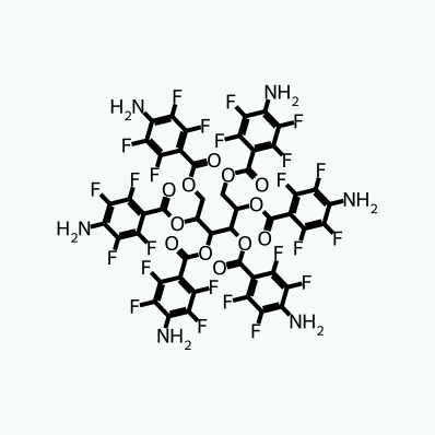 Nc1c(F)c(F)c(C(=O)OCC(OC(=O)c2c(F)c(F)c(N)c(F)c2F)C(OC(=O)c2c(F)c(F)c(N)c(F)c2F)C(OC(=O)c2c(F)c(F)c(N)c(F)c2F)C(COC(=O)c2c(F)c(F)c(N)c(F)c2F)OC(=O)c2c(F)c(F)c(N)c(F)c2F)c(F)c1F